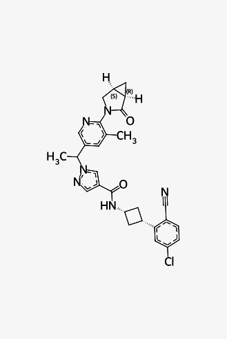 Cc1cc(C(C)n2cc(C(=O)N[C@H]3C[C@@H](c4cc(Cl)ccc4C#N)C3)cn2)cnc1N1C[C@H]2C[C@H]2C1=O